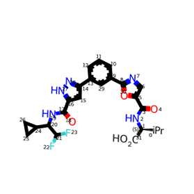 CC(C)[C@H](NC(=O)c1cnc(-c2cccc(-c3cc(C(=O)NC(C(F)F)C4CC4)[nH]n3)c2)o1)C(=O)O